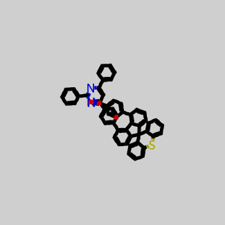 N#Cc1ccc(-c2cccc3c2-c2c(-c4ccc(-c5cc(-c6ccccc6)nc(-c6ccccc6)n5)cc4)cccc2C32c3ccccc3Sc3ccccc32)cc1